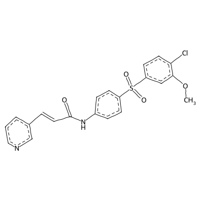 COc1cc(S(=O)(=O)c2ccc(NC(=O)C=Cc3cccnc3)cc2)ccc1Cl